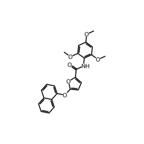 COc1cc(OC)c(NC(=O)c2ccc(Oc3cccc4ccccc34)o2)c(OC)c1